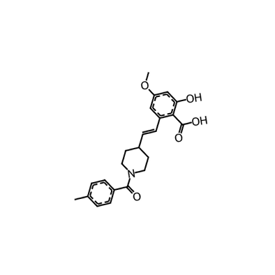 COc1cc(O)c(C(=O)O)c(/C=C/C2CCN(C(=O)c3ccc(C)cc3)CC2)c1